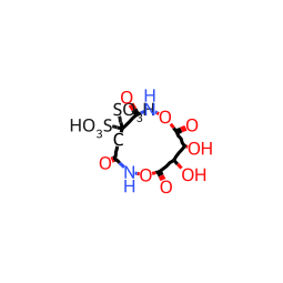 O=C1CC(S(=O)(=O)O)(S(=O)(=O)O)C(=O)NOC(=O)C(O)C(O)C(=O)ON1